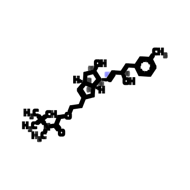 Cc1cccc(C[C@@H](O)/C=C/[C@@H]2[C@H]3CC(CCOCC(=O)N(C)C(C)(C)C)=C[C@H]3C[C@H]2O)c1